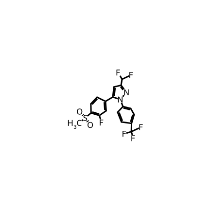 CS(=O)(=O)c1ccc(-c2cc(C(F)F)nn2-c2ccc(C(F)(F)F)cc2)cc1F